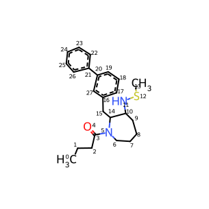 CCCC(=O)N1CCCCC(NSC)C1Cc1cccc(-c2ccccc2)c1